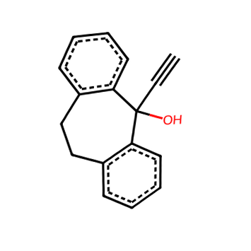 C#CC1(O)c2ccccc2CCc2ccccc21